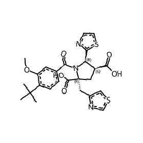 COc1cc(C(=O)N2[C@@H](c3nccs3)[C@@H](C(=O)O)C[C@@]2(Cc2cscn2)C(=O)O)ccc1C(C)(C)C